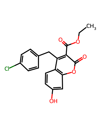 CCOC(=O)c1c(Cc2ccc(Cl)cc2)c2ccc(O)cc2oc1=O